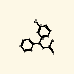 O=C(S)CC(c1ccccc1)c1cccc(Cl)c1